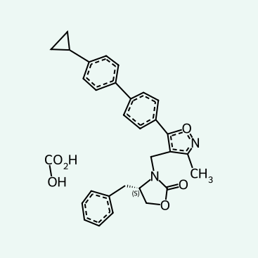 Cc1noc(-c2ccc(-c3ccc(C4CC4)cc3)cc2)c1CN1C(=O)OC[C@@H]1Cc1ccccc1.O=C(O)O